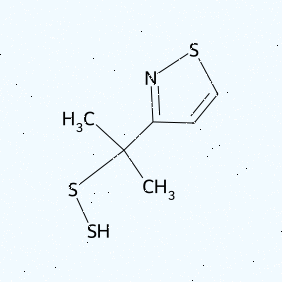 CC(C)(SS)c1ccsn1